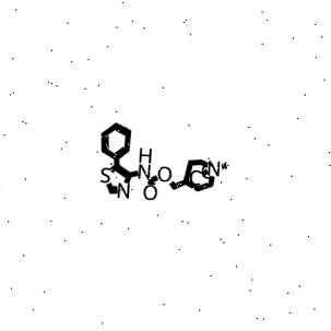 C[N+]12CCC(COC(=O)Nc3ncsc3-c3ccccc3)(CC1)CC2